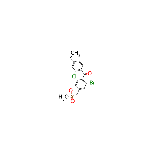 C=Cc1ccc(C(=O)c2ccc(CS(C)(=O)=O)cc2Br)c(Cl)c1